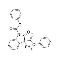 C[C@@]1(C(=O)Oc2ccccc2)C(=O)N(C(=O)Oc2ccccc2)c2ccccc21